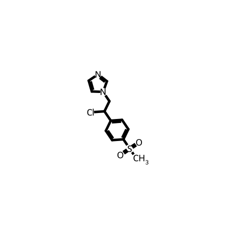 CS(=O)(=O)c1ccc(C(Cl)Cn2ccnc2)cc1